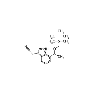 CC(OCS(C)(C)C(C)(C)C)c1cccc2c(CC#N)c[nH]c12